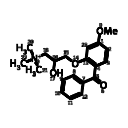 COc1ccc(C(=O)c2ccccc2)c(OCC(O)C[N+](C)(C)C)c1